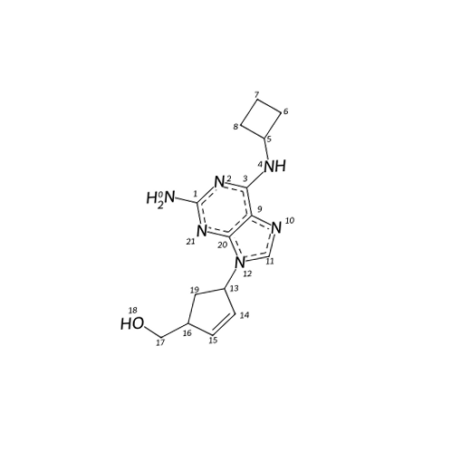 Nc1nc(NC2CCC2)c2ncn(C3C=CC(CO)C3)c2n1